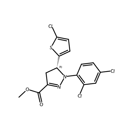 COC(=O)C1=NN(c2ccc(Cl)cc2Cl)[C@@H](c2ccc(Cl)s2)C1